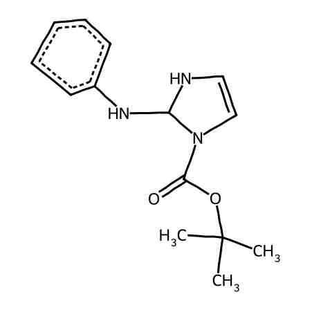 CC(C)(C)OC(=O)N1C=CNC1Nc1ccccc1